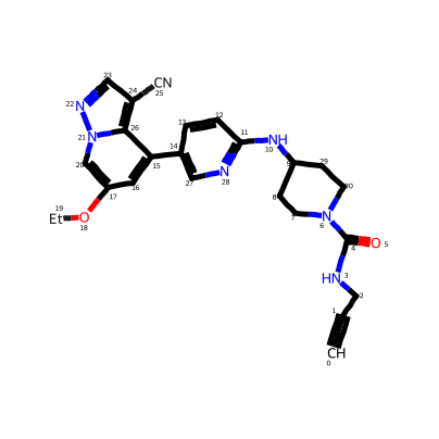 C#CCNC(=O)N1CCC(Nc2ccc(-c3cc(OCC)cn4ncc(C#N)c34)cn2)CC1